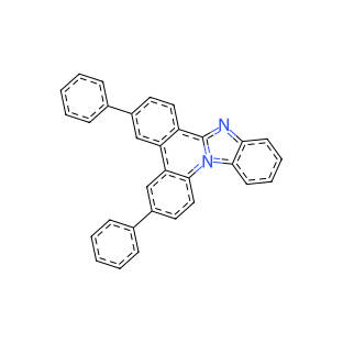 c1ccc(-c2ccc3c(c2)c2cc(-c4ccccc4)ccc2n2c4ccccc4nc32)cc1